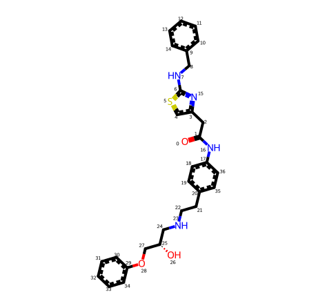 O=C(Cc1csc(NCc2ccccc2)n1)Nc1ccc(CCNC[C@H](O)COc2ccccc2)cc1